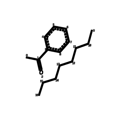 CC(=O)c1ccccc1.CCCCCCCC